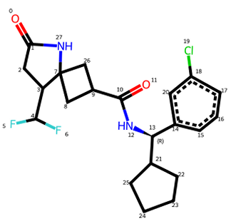 O=C1CC(C(F)F)C2(CC(C(=O)N[C@@H](c3cccc(Cl)c3)C3CCCC3)C2)N1